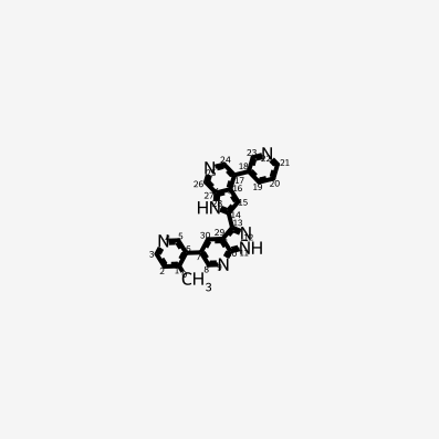 Cc1ccncc1-c1cnc2[nH]nc(-c3cc4c(-c5cccnc5)cncc4[nH]3)c2c1